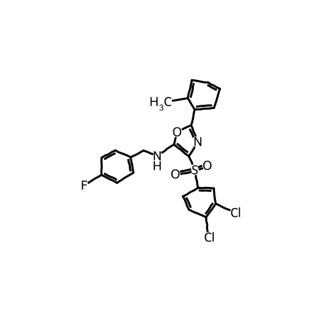 Cc1ccccc1-c1nc(S(=O)(=O)c2ccc(Cl)c(Cl)c2)c(NCc2ccc(F)cc2)o1